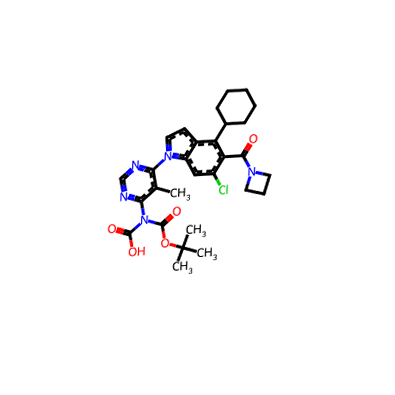 Cc1c(N(C(=O)O)C(=O)OC(C)(C)C)ncnc1-n1ccc2c(C3CCCCC3)c(C(=O)N3CCC3)c(Cl)cc21